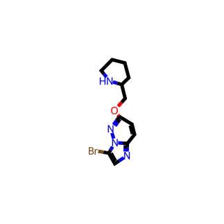 Brc1cnc2ccc(OCC3CCCCN3)nn12